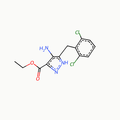 CCOC(=O)c1n[nH]c(Cc2c(Cl)cccc2Cl)c1N